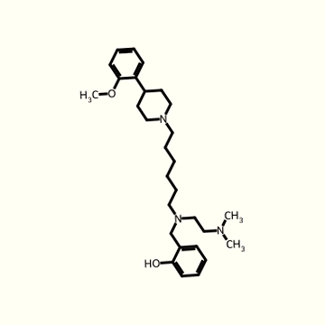 COc1ccccc1C1CCN(CCCCCCN(CCN(C)C)Cc2ccccc2O)CC1